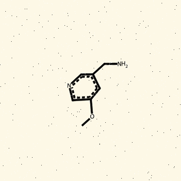 COc1cncc(CN)c1